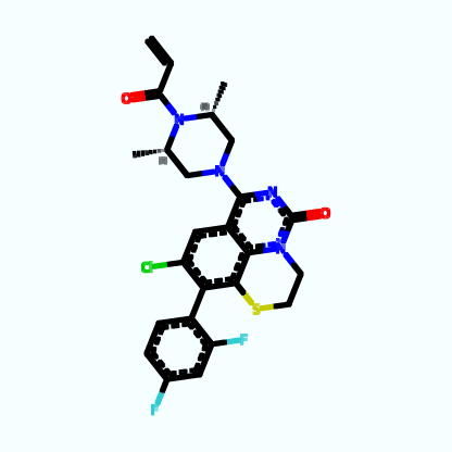 C=CC(=O)N1[C@H](C)CN(c2nc(=O)n3c4c(c(-c5ccc(F)cc5F)c(Cl)cc24)SCC3)C[C@@H]1C